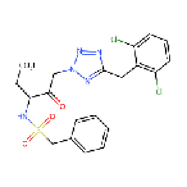 O=C(O)CC(NS(=O)(=O)Cc1ccccc1)C(=O)Cn1nnc(Cc2c(Cl)cccc2Cl)n1